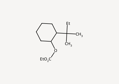 CCOC(=O)OC1CCCCC1C(C)(C)CC